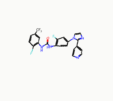 O=C(Nc1ccc(-n2ccnc2-c2ccncc2)cc1F)Nc1cc(C(F)(F)F)ccc1F